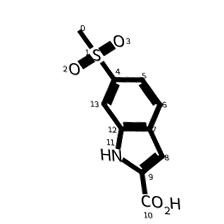 CS(=O)(=O)c1ccc2cc(C(=O)O)[nH]c2c1